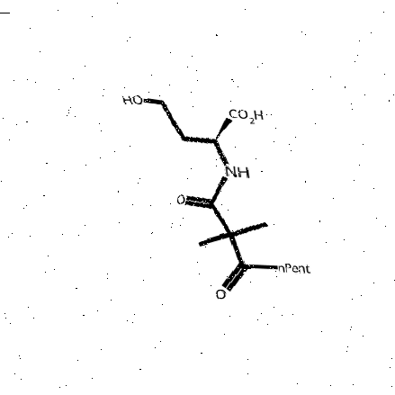 CCCCCC(=O)C(C)(C)C(=O)N[C@@H](CCO)C(=O)O